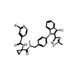 Cc1nc(-c2c(Cl)c3ccccc3n2-c2ccc(CN(F)C(=O)C3(NC(=O)c4ccnc(F)c4)CC3)cc2)no1